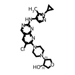 Cc1c(Nc2ncc3cc(Cl)c(N4CCN([C@H]5COC[C@H]5O)CC4)nc3n2)cnn1C1CC1